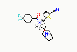 CC1CC2CCC(C1)N2CC[C@H](NC(=O)C1CCC(F)(F)CC1)c1ccc(C#N)s1